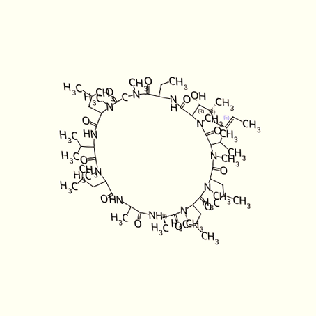 C/C=C/C[C@@H](C)[C@@H](O)C1C(=O)NC(CC)C(=O)N(C)CC(=O)N(C)C(CC(C)C)C(=O)NC(C(C)C)C(=O)N(C)C(CC(C)C)C(=O)NC(C)C(=O)N[C@H](C)C(=O)N(C)C(CC(C)C)C(=O)N(C)C(CC(C)C)C(=O)N(C)C(C(C)C)C(=O)N1C